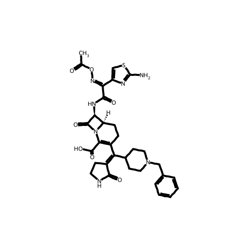 CC(=O)ON=C(C(=O)N[C@@H]1C(=O)N2C(C(=O)O)=C(C(=C3CCNC3=O)C3CCN(Cc4ccccc4)CC3)CC[C@H]12)c1csc(N)n1